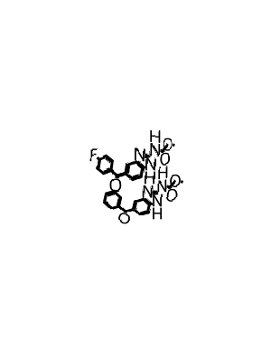 COC(=O)Nc1nc2cc(C(=O)c3ccc(F)cc3)ccc2[nH]1.COC(=O)Nc1nc2cc(C(=O)c3ccccc3)ccc2[nH]1